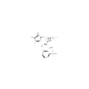 CC[C](CC)=[Ti]([O]c1cccc(C(C)(C)C)c1)[C]1=C(C)C(C)=C(C)C1C.Cl.Cl